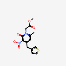 COC(=O)Cn1c(C)cc(Cc2ccsc2)c([N+](=O)[O-])c1=O